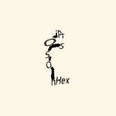 CCCCCCCCOCSC(=S)OC(C)C